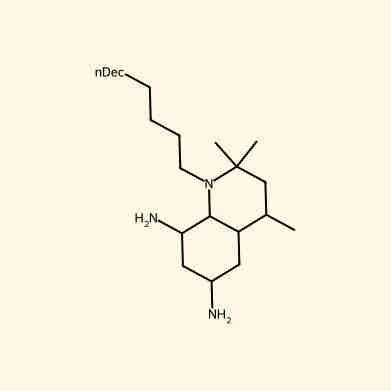 CCCCCCCCCCCCCCN1C2C(N)CC(N)CC2C(C)CC1(C)C